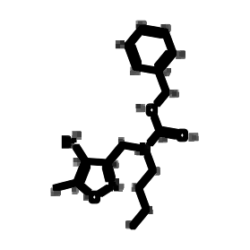 CCCCN(Cc1noc(C)c1Br)C(=O)OCc1ccccc1